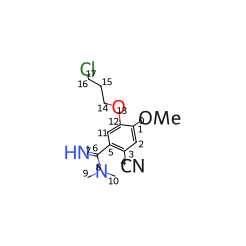 COc1cc(C#N)c(C(=N)N(C)C)cc1OCCCCl